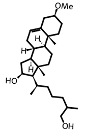 CO[C@H]1CC[C@@]2(C)C(=CC[C@H]3[C@@H]4C[C@H](O)[C@H]([C@H](C)CCCC(C)CO)[C@@]4(C)CC[C@@H]32)C1